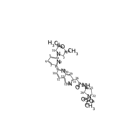 C[C@@H]1CN(c2cccc(-c3ccc4cnc(CC(=O)N[C@H]5CCN(S(C)(=O)=O)C5)cc4n3)n2)C[C@H](C)O1